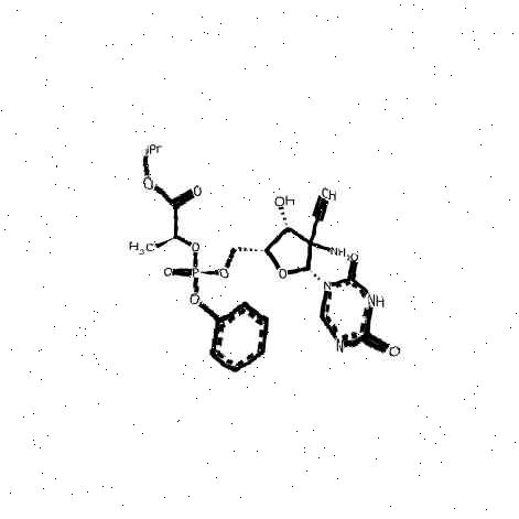 C#CC1(N)[C@@H](O)[C@@H](CO[P@](=O)(Oc2ccccc2)O[C@@H](C)C(=O)OC(C)C)O[C@H]1n1cnc(=O)[nH]c1=O